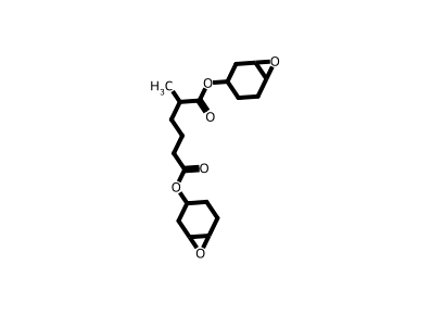 CC(CCCC(=O)OC1CCC2OC2C1)C(=O)OC1CCC2OC2C1